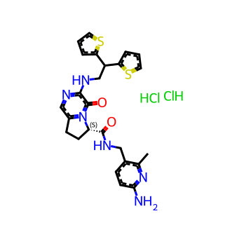 Cc1nc(N)ccc1CNC(=O)[C@@H]1CCc2cnc(NCC(c3cccs3)c3cccs3)c(=O)n21.Cl.Cl